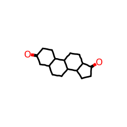 O=C1CCC2C(CCC3C4CCC(=O)C4CCC23)C1